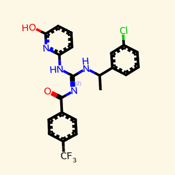 CC(N/C(=N/C(=O)c1ccc(C(F)(F)F)cc1)Nc1cccc(O)n1)c1cccc(Cl)c1